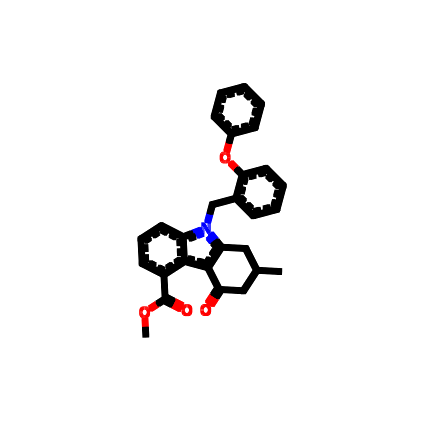 COC(=O)c1cccc2c1c1c(n2Cc2ccccc2Oc2ccccc2)CC(C)CC1=O